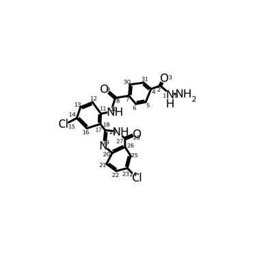 NNC(=O)c1ccc(C(=O)Nc2ccc(Cl)cc2-c2nc3ccc(Cl)cc3c(=O)[nH]2)cc1